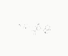 CCN1CCC1C(=O)NC1CCC(Nc2cc(-c3c[nH]c4ncccc34)cc(Cl)n2)CC1